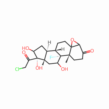 C[C@]12CC(O)[C@@]3(F)[C@@H](CCC45OC4C(=O)CC[C@@]53C)[C@@H]1CC(O)[C@]2(O)C(=O)CCl